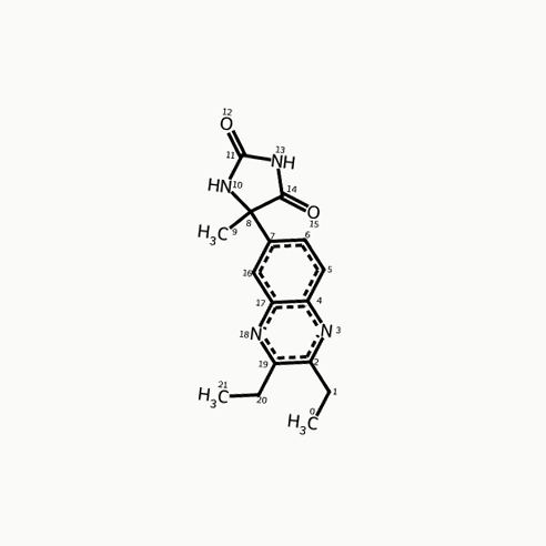 CCc1nc2ccc(C3(C)NC(=O)NC3=O)cc2nc1CC